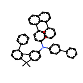 CC1(C)c2ccc(N(c3ccc(-c4ccccc4)cc3)c3ccc(-c4cccc5cccc(-c6ccccc6)c45)cc3)cc2-c2c(-c3ccccc3)cccc21